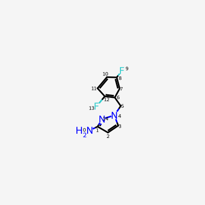 Nc1ccn(Cc2cc(F)ccc2F)n1